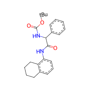 CC(C)(C)OC(=O)NC(C(=O)Nc1cccc2c1CCCC2)c1ccccc1